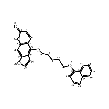 O=c1ccc2c(OCCCCCOc3cccc4ccccc34)c3ccoc3cc2o1